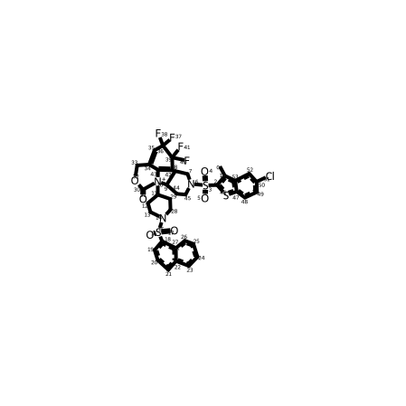 Cc1c(S(=O)(=O)N2CCC([N+]3(C4CCN(S(=O)(=O)c5cccc6ccccc56)CC4)C(=O)OCC4=CC(F)(F)C(F)(F)C=C43)CC2)sc2ccc(Cl)cc12